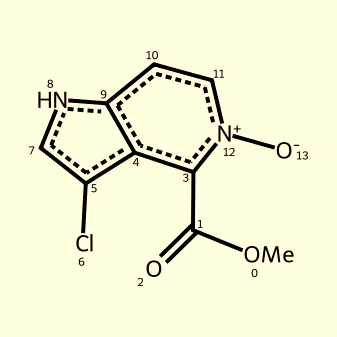 COC(=O)c1c2c(Cl)c[nH]c2cc[n+]1[O-]